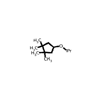 CC(C)OC1CC(C)(C)C(C)(C)C1